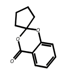 O=C1OC2(CCCC2)Oc2ccccc21